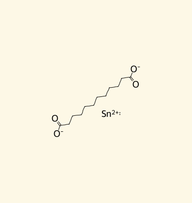 O=C([O-])CCCCCCCCCCC(=O)[O-].[Sn+2]